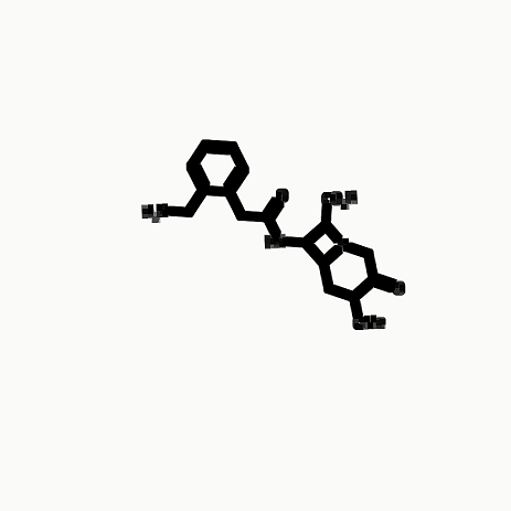 COC1CC2C(NC(=O)Cc3ccccc3CN)C(C(=O)O)N2CC1=O